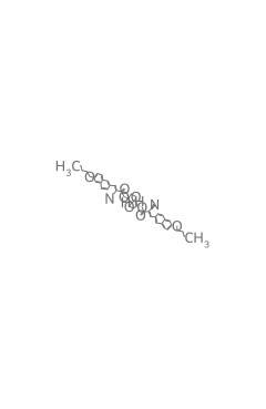 CCCCOc1ccc2cc(/C=C(\C#N)C(=O)O[C@H]3CO[C@H]4[C@@H]3OC[C@H]4OC(=O)/C(C#N)=C/c3ccc4cc(OCCCC)ccc4c3)ccc2c1